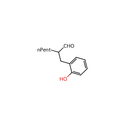 CCCCCC(C=O)Cc1ccccc1O